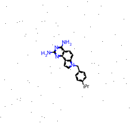 CC(C)c1ccc(Cn2ccc3c4nc(N)nc(N)c4ccc32)cc1